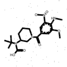 CNc1c(OC)cc(C(=O)N2CCCC(N(C(=O)O)C(C)(C)C)C2)cc1[N+](=O)[O-]